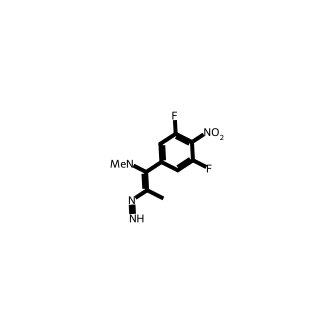 CN/C(=C(/C)N=N)c1cc(F)c([N+](=O)[O-])c(F)c1